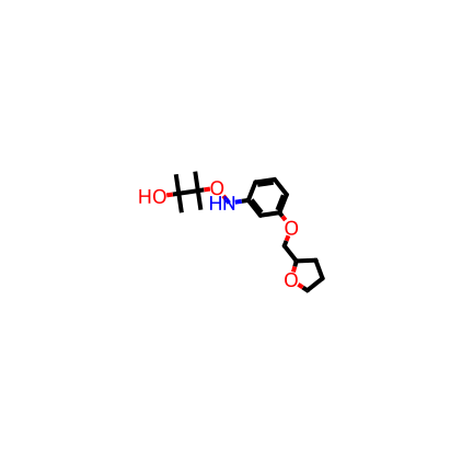 CC(C)(O)C(C)(C)ONc1cccc(OCC2CCCO2)c1